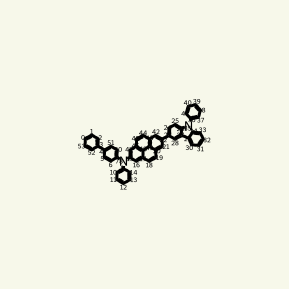 c1ccc(-c2ccc(N(c3ccccc3)c3cc4ccc5cc(-c6ccc7c(c6)c6ccccc6n7-c6ccccc6)cc6ccc(c3)c4c56)cc2)cc1